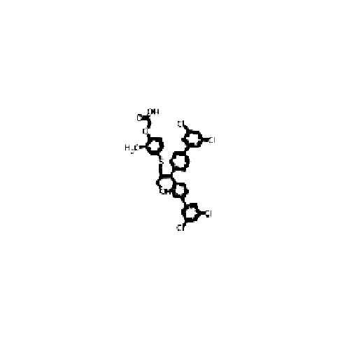 CCC(CSc1ccc(OCC(=O)O)c(C)c1)=C(c1ccc(-c2cc(Cl)cc(Cl)c2)cc1)c1ccc(-c2cc(Cl)cc(Cl)c2)cc1